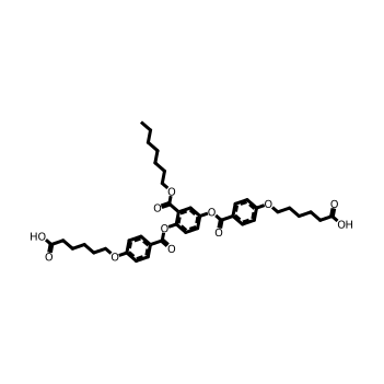 CCCCCCCOC(=O)c1cc(OC(=O)c2ccc(OCCCCCC(=O)O)cc2)ccc1OC(=O)c1ccc(OCCCCCC(=O)O)cc1